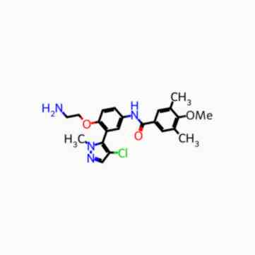 COc1c(C)cc(C(=O)Nc2ccc(OCCN)c(-c3c(Cl)cnn3C)c2)cc1C